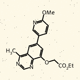 CCOC(=O)COc1cc(-c2ccc(OC)nc2)cc2c(C)ncnc12